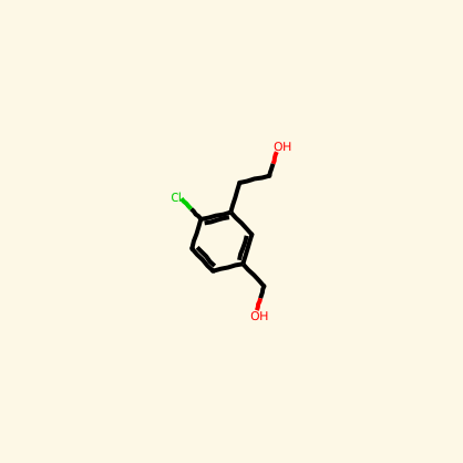 OCCc1cc(CO)ccc1Cl